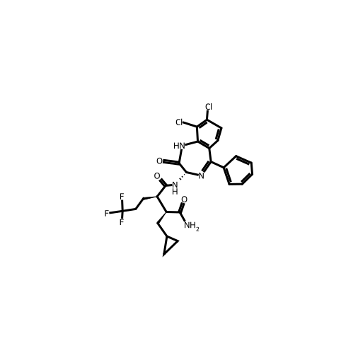 NC(=O)[C@@H](CC1CC1)[C@@H](CCC(F)(F)F)C(=O)N[C@H]1N=C(c2ccccc2)c2ccc(Cl)c(Cl)c2NC1=O